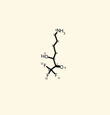 NCCCCC(O)C(=O)C(F)(F)F